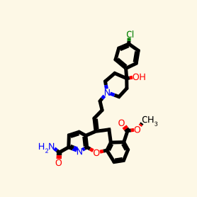 COC(=O)c1cccc2c1CC(=CCCN1CCC(O)(c3ccc(Cl)cc3)CC1)c1ccc(C(N)=O)nc1O2